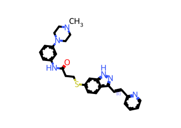 CN1CCN(c2cccc(NC(=O)CCSc3ccc4c(/C=C/c5ccccn5)n[nH]c4c3)c2)CC1